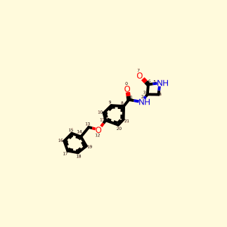 O=C(NC1CNC1=O)c1ccc(OCc2ccccc2)cc1